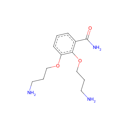 NCCCOc1cccc(C(N)=O)c1OCCCN